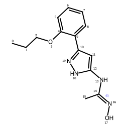 CCCOc1ccccc1-c1cc(N/C(C)=N/O)[nH]n1